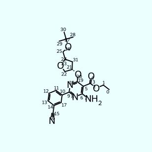 CCOC(=O)c1c(N)nc(-c2cccc(C#N)c2)nc1O[C@@H]1COC(COC(C)(C)C)C1